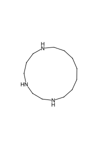 C1CCCNCCCNCCNCCC1